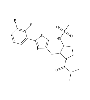 CC(C)C(=O)N1CCC(NS(C)(=O)=O)C1Cc1csc(-c2cccc(F)c2F)n1